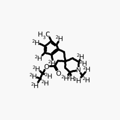 [2H]c1c([2H])c(C)c([2H])c(CC2(CC(=O)OC([2H])([2H])C([2H])([2H])[2H])CC([2H])([2H])N(C([2H])([2H])[2H])C([2H])([2H])C2)c1[2H]